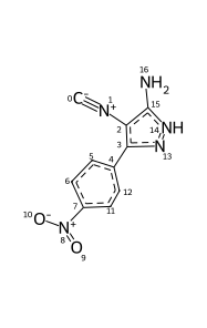 [C-]#[N+]c1c(-c2ccc([N+](=O)[O-])cc2)n[nH]c1N